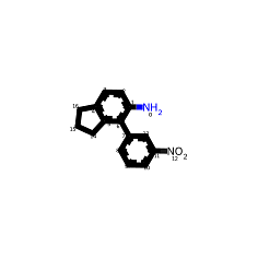 Nc1ccc2c(c1-c1cccc([N+](=O)[O-])c1)CCC2